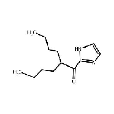 CCCCC(CCCC)C(=O)c1ncc[nH]1